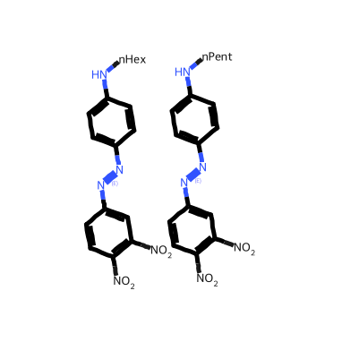 CCCCCCNc1ccc(/N=N/c2ccc([N+](=O)[O-])c([N+](=O)[O-])c2)cc1.CCCCCNc1ccc(/N=N/c2ccc([N+](=O)[O-])c([N+](=O)[O-])c2)cc1